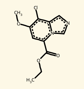 CCOC(=O)c1cc(OC)c(Cl)c2cncn12